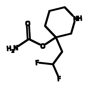 NC(=O)OC1(CC(F)F)CCCNC1